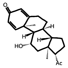 CC(=O)[C@H]1CC[C@H]2[C@@H]3CCC4=CC(=O)C=C[C@]4(C)[C@H]3[C@@H](O)C[C@]12C